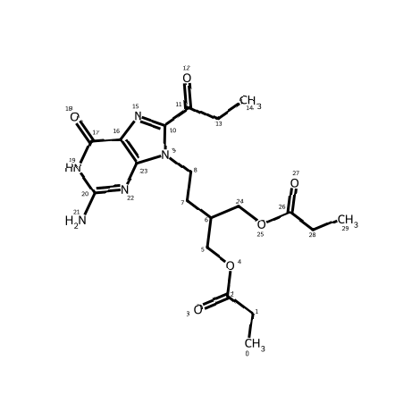 CCC(=O)OCC(CCn1c(C(=O)CC)nc2c(=O)[nH]c(N)nc21)COC(=O)CC